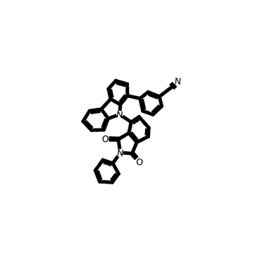 N#Cc1cccc(-c2cccc3c4ccccc4n(-c4cccc5c4C(=O)N(c4ccccc4)C5=O)c23)c1